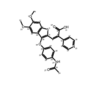 COc1cc2sc(C=C(C(=O)O)c3ccncc3)c(Oc3ccc(NC(C)=O)cc3)c2cc1OC